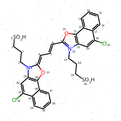 O=S(=O)(O)CCCN1C(=CC=Cc2oc3c4ccccc4c(Cl)cc3[n+]2CCCS(=O)(=O)O)Oc2c1cc(Cl)c1ccccc21